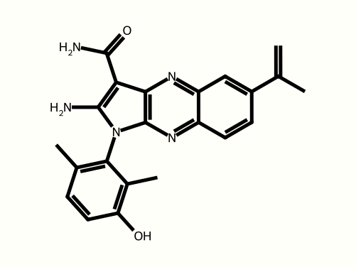 C=C(C)c1ccc2nc3c(nc2c1)c(C(N)=O)c(N)n3-c1c(C)ccc(O)c1C